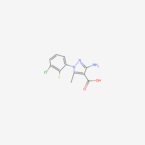 Cc1c(C(=O)O)c(N)nn1-c1cccc(Cl)c1F